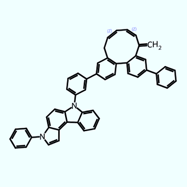 C=C1/C=C\C=C/Cc2cc(-c3cccc(-n4c5ccccc5c5c6ccn(-c7ccccc7)c6ccc54)c3)ccc2-c2ccc(-c3ccccc3)cc21